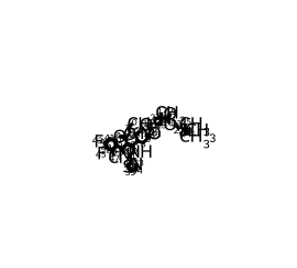 CCOC(=O)C1=C(C2CCN(S(=O)(=O)C3CC(C)(C(=O)OCC[Si](C)(C)C)C3)CC2)NC(c2nccs2)=NC1c1ccc(F)c(F)c1Cl